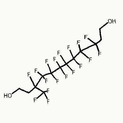 OCCC(F)(F)C(F)(F)C(F)(F)C(F)(F)C(F)(F)C(F)(F)C(F)(F)C(F)(CCO)C(F)(F)F